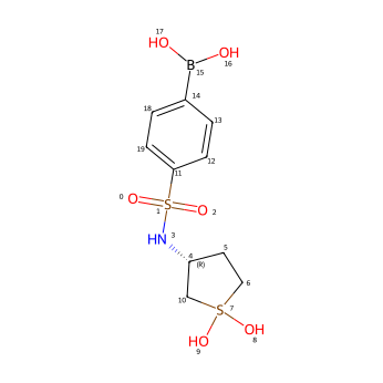 O=S(=O)(N[C@@H]1CCS(O)(O)C1)c1ccc(B(O)O)cc1